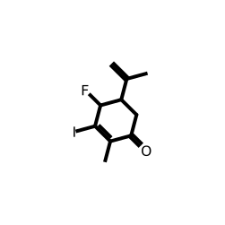 C=C(C)C1CC(=O)C(C)=C(I)C1F